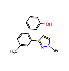 Cc1cccc(-c2ccn(C(C)C)n2)c1.Oc1ccccc1